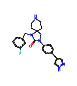 O=C1N(c2ccc(-c3cn[nH]c3)cc2)CC2(CCNCC2)N1Cc1cccc(F)c1